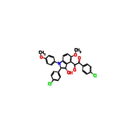 COc1ccc(-n2c(-c3ccc(Cl)cc3)c(O)c3c(C(=O)C(=O)c4ccc(Cl)cc4)c(OC)ccc32)cc1